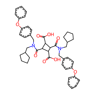 O=C(O)C1C(C(=O)N(Cc2ccc(Oc3ccccc3)cc2)CC2CCCC2)C(C(=O)O)C1C(=O)N(Cc1ccc(Oc2ccccc2)cc1)CC1CCCC1